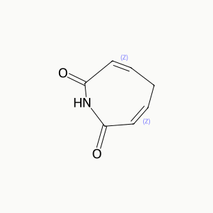 O=C1/C=C\C/C=C\C(=O)N1